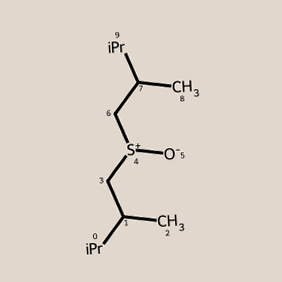 CC(C)C(C)C[S+]([O-])CC(C)C(C)C